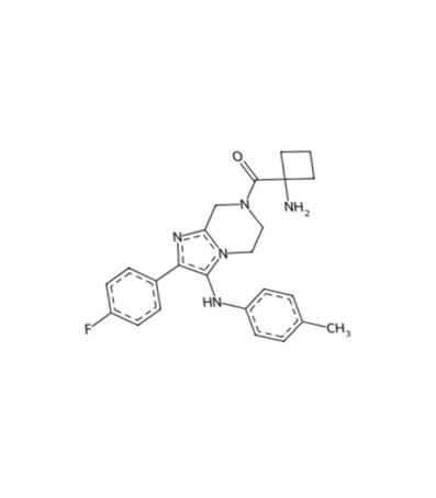 Cc1ccc(Nc2c(-c3ccc(F)cc3)nc3n2CCN(C(=O)C2(N)CCC2)C3)cc1